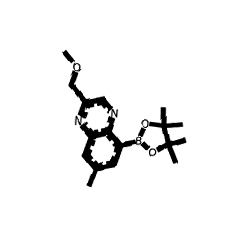 COCc1cnc2c(B3OC(C)(C)C(C)(C)O3)cc(C)cc2n1